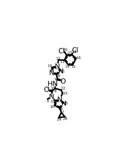 CN1C(=O)[C@@H](NC(=O)c2ncn(Cc3cccc(Cl)c3Cl)n2)CCn2nc(C3CC3)cc21